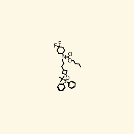 CCCCOC(=O)N(CCCC1CC(O[Si](c2ccccc2)(c2ccccc2)C(C)(C)C)C1)C1CCC(F)(F)CC1